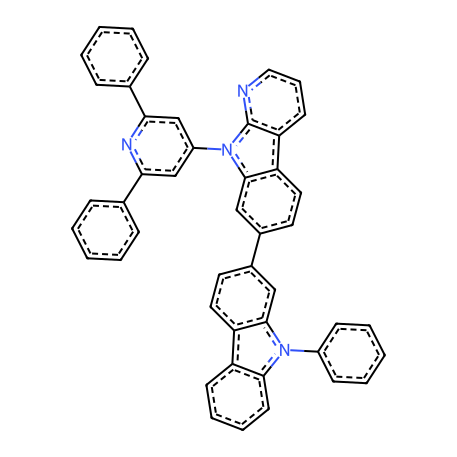 c1ccc(-c2cc(-n3c4cc(-c5ccc6c7ccccc7n(-c7ccccc7)c6c5)ccc4c4cccnc43)cc(-c3ccccc3)n2)cc1